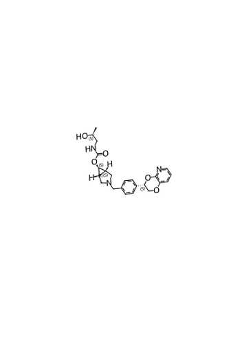 C[C@H](O)CNC(=O)O[C@H]1[C@@H]2CN(Cc3ccc([C@H]4COc5cccnc5O4)cc3)C[C@@H]21